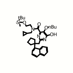 CCCCOc1c(O)nc(CC2(c3cccc4ccccc34)CCCC2)nc1C(=O)N(CCO[Si](C)(C)C(C)(C)C)CC1CC1